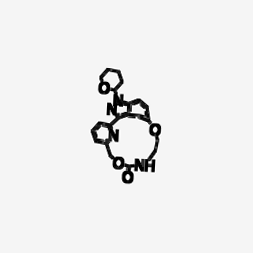 O=C1NCCCOc2ccc3c(c2)c(nn3C2CCCCO2)-c2cccc(n2)CO1